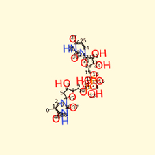 Cc1cn([C@H]2CC(O)[C@@H](COP(=O)(O)OP(=O)(O)OC[C@H]3O[C@@H](n4ccc(=O)[nH]c4=O)C(O)C3O)O2)c(=O)[nH]c1=O